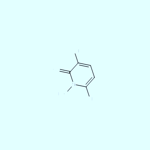 Cc1ccc(Cl)n(C)c1=O